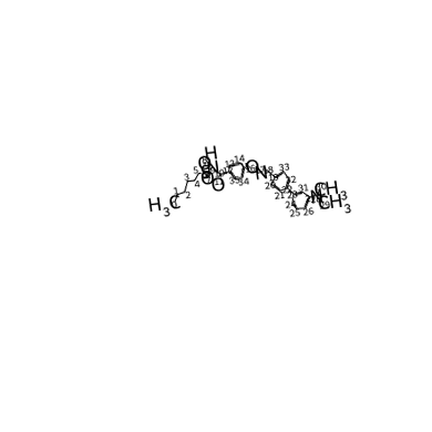 CCCCCCS(=O)(=O)NC(=O)c1ccc(O/N=C/c2ccc(-c3cccc(N(C)C)c3)cc2)cc1